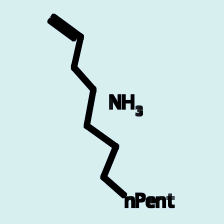 C=CCCCCCCCCCC.N